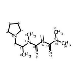 CC(CN1CCCC1)N(C)C(=S)NC(=S)N(C)C